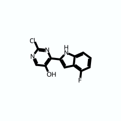 Oc1cnc(Cl)nc1-c1cc2c(F)cccc2[nH]1